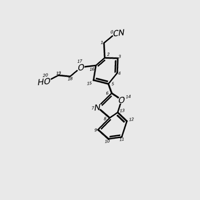 N#CCc1ccc(-c2nc3ccccc3o2)cc1OCCO